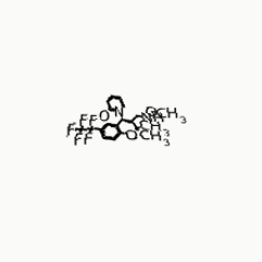 CONCC1=C(n2ccccc2=O)c2cc(C(F)(F)C(F)(F)F)ccc2OC1(C)C